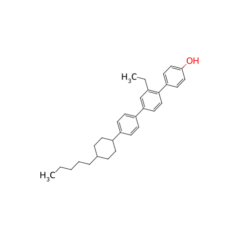 CCCCCC1CCC(c2ccc(-c3ccc(-c4ccc(O)cc4)c(CC)c3)cc2)CC1